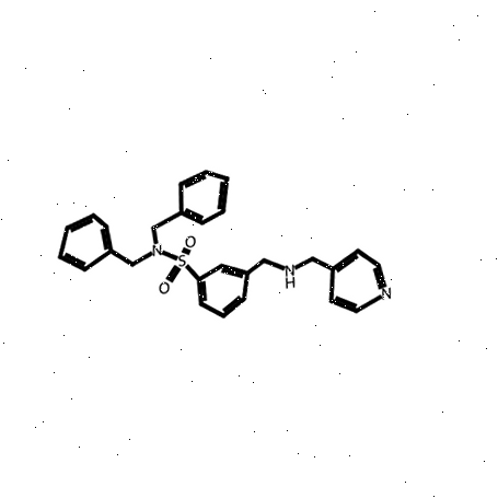 O=S(=O)(c1cccc(CNCc2ccncc2)c1)N(Cc1ccccc1)Cc1ccccc1